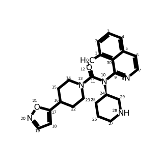 Cc1cccc2ccnc(N(C(=O)N3CCC(c4ccno4)CC3)[C@@H]3CCCNC3)c12